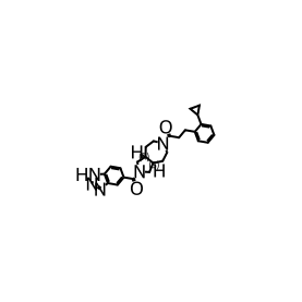 O=C(CCc1ccccc1C1CC1)N1CC[C@@H]2CN(C(=O)c3ccc4[nH]nnc4c3)C[C@@H]2CC1